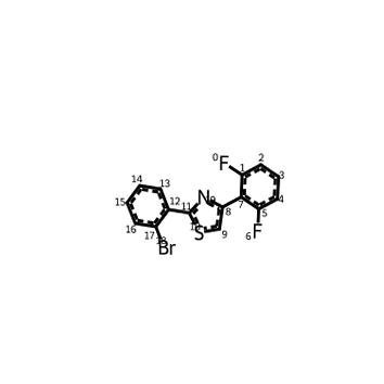 Fc1cccc(F)c1-c1csc(-c2ccccc2Br)n1